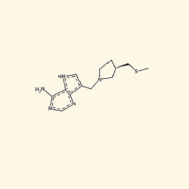 CSC[C@@H]1CCN(Cc2c[nH]c3c(N)ncnc23)C1